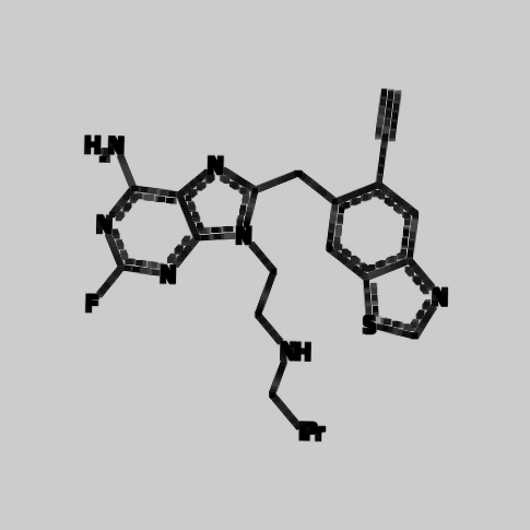 C#Cc1cc2ncsc2cc1Cc1nc2c(N)nc(F)nc2n1CCNCC(C)C